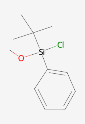 CO[Si](Cl)(c1ccccc1)C(C)(C)C